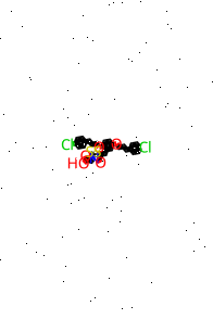 O=C(O)CN1C(=O)C(=Cc2cc(OCCCc3ccc(Cl)cc3)ccc2OCCCc2ccc(Cl)cc2)SC1=S